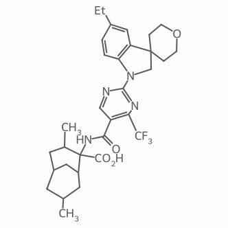 CCc1ccc2c(c1)C1(CCOCC1)CN2c1ncc(C(=O)NC2(C(=O)O)C(C)CC3CC(C)CC2C3)c(C(F)(F)F)n1